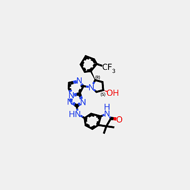 CC1(C)C(=O)Nc2cc(Nc3nc4c(N5C[C@@H](O)C[C@@H]5c5ccccc5C(F)(F)F)nccn4n3)ccc21